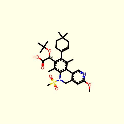 COc1cc2c(cn1)-c1c(C)c(C3=CCC(C)(C)CC3)c([C@H](OC(C)(C)C)C(=O)O)c(C)c1N(S(C)(=O)=O)C2